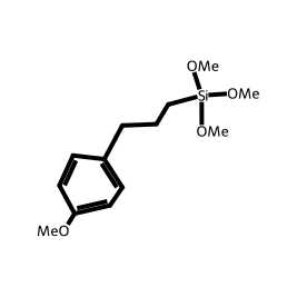 COc1ccc(CCC[Si](OC)(OC)OC)cc1